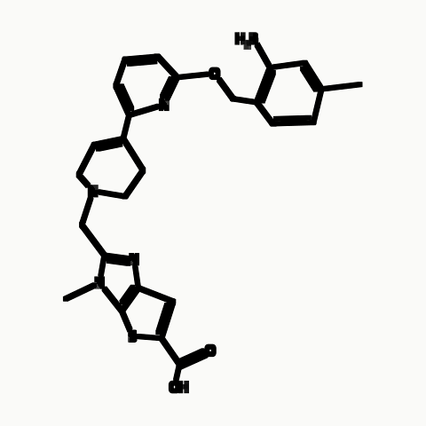 Bc1cc(C)ccc1COc1cccc(C2=CCN(Cc3nc4cc(C(=O)O)sc4n3C)CC2)n1